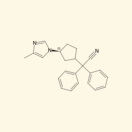 Cc1cn([C@H]2CCC(C(C#N)(c3ccccc3)c3ccccc3)C2)cn1